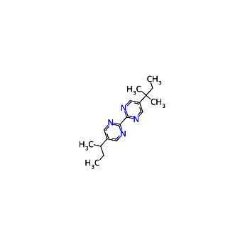 CCC(C)c1cnc(-c2ncc(C(C)(C)CC)cn2)nc1